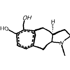 CN1CC[C@@H]2Cc3c(ccc(O)c3O)CC21